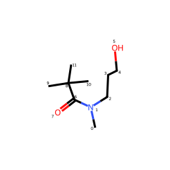 CN(CCCO)C(=O)C(C)(C)C